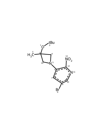 CC(C)(C)OC1(C)CN(c2cc(Br)cnc2[N+](=O)[O-])C1